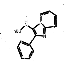 CCCCNc1c(-c2ccccc2)nc2ccccn12